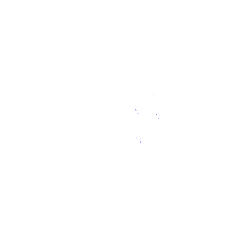 FC(F)(F)c1ccc(Cc2cccc(-c3ncc4ccccc4n3)n2)cc1